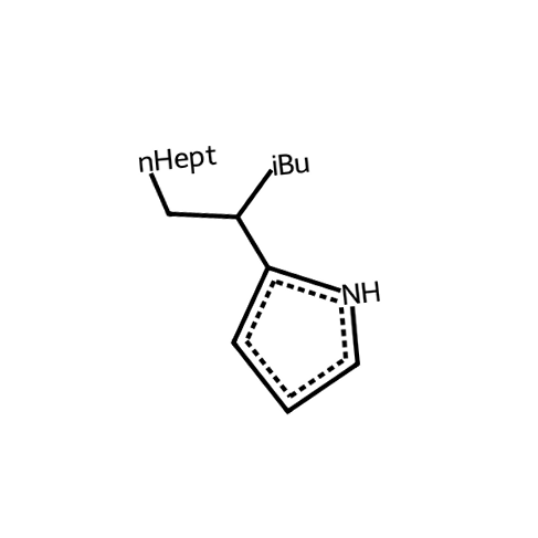 CCCCCCCCC(c1ccc[nH]1)C(C)CC